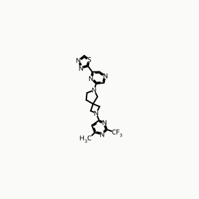 Cc1cc(N2CC3(CCN(c4cncc(-c5nncs5)n4)C3)C2)nc(C(F)(F)F)n1